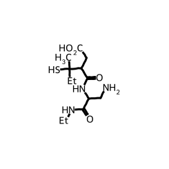 CCNC(=O)C(CN)NC(=O)C(CC(=O)O)C(C)(S)CC